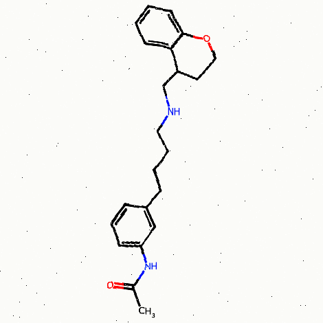 CC(=O)Nc1cccc(CCCCNCC2CCOc3ccccc32)c1